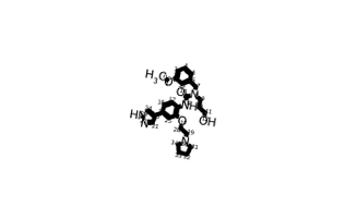 COc1cccc(CN(CCCO)C(=O)Nc2ccc(-c3cn[nH]c3)cc2OCCN2CCCC2)c1